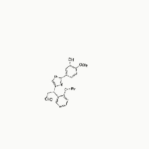 COc1ccc(-c2nc(C(CC=O)c3ccccc3OC(C)C)co2)cc1O